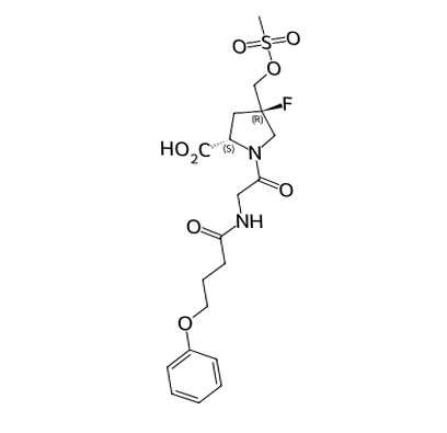 CS(=O)(=O)OC[C@@]1(F)C[C@@H](C(=O)O)N(C(=O)CNC(=O)CCCOc2ccccc2)C1